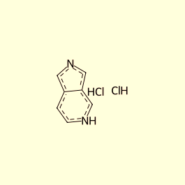 Cl.Cl.c1cc2cncc-2c[nH]1